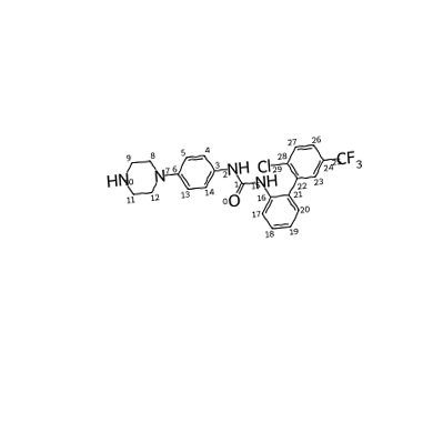 O=C(Nc1ccc(N2CCNCC2)cc1)Nc1ccccc1-c1cc(C(F)(F)F)ccc1Cl